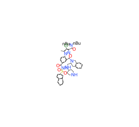 CCCCN(CCCC)C(=O)c1nn(-c2ccc(C(=O)NS(=O)(=O)c3ccc4ccccc4c3)cc2C(=O)N2Cc3ccccc3CC2CNC2CCNCC2)c(C)c1Cl